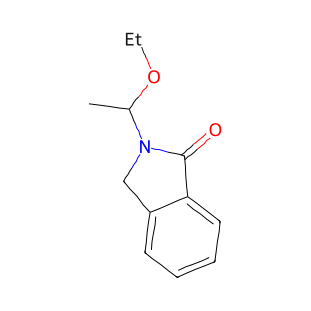 CCOC(C)N1Cc2ccccc2C1=O